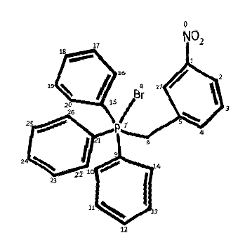 O=[N+]([O-])c1cccc(CP(Br)(c2ccccc2)(c2ccccc2)c2ccccc2)c1